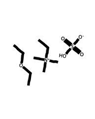 CCOCC.CC[N+](C)(C)C.O=S(=O)([O-])O